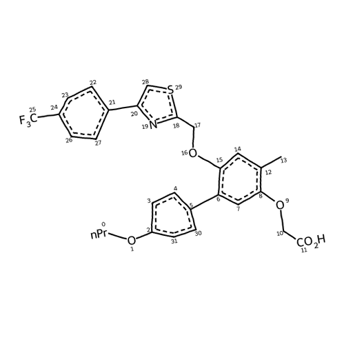 CCCOc1ccc(-c2cc(OCC(=O)O)c(C)cc2OCc2nc(-c3ccc(C(F)(F)F)cc3)cs2)cc1